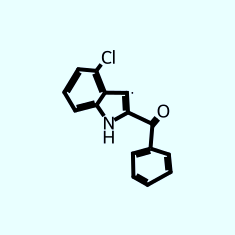 O=C(c1ccccc1)c1[c]c2c(Cl)cccc2[nH]1